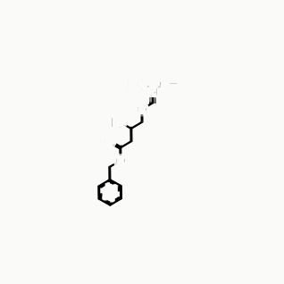 C[SiH](C)COCC(O)CC(=O)OCc1ccccc1